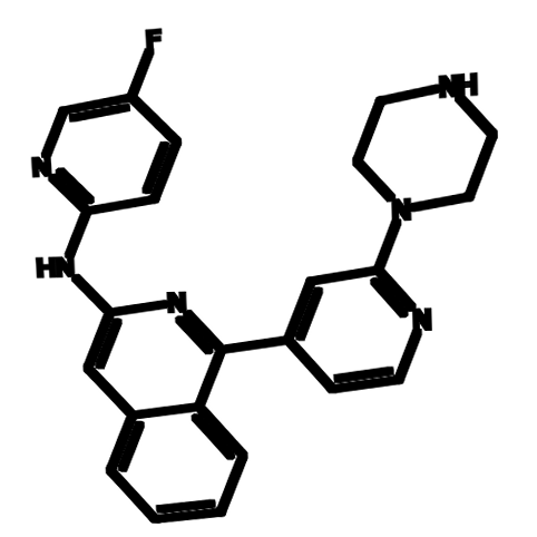 Fc1ccc(Nc2cc3ccccc3c(-c3ccnc(N4CCNCC4)c3)n2)nc1